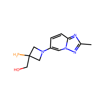 Cc1nc2ccc(N3CC(P)(CO)C3)cn2n1